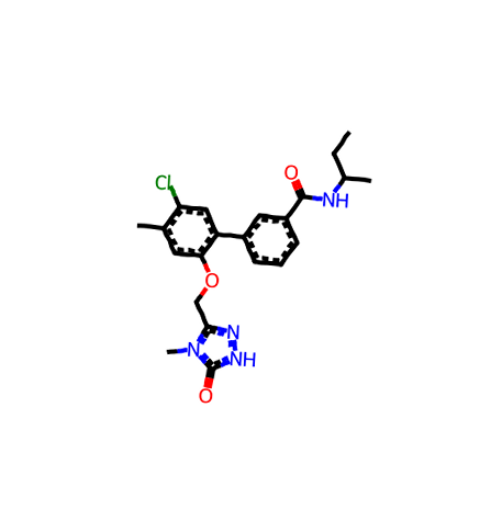 CCC(C)NC(=O)c1cccc(-c2cc(Cl)c(C)cc2OCc2n[nH]c(=O)n2C)c1